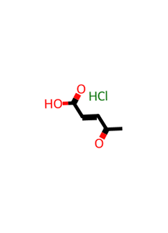 CC(=O)C=CC(=O)O.Cl